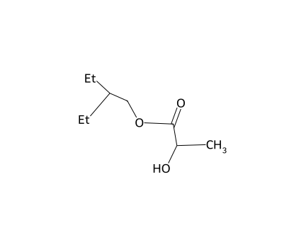 CCC(CC)COC(=O)C(C)O